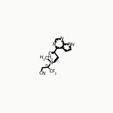 C=C(/C=C\N(C)[C@H](CC#N)C(F)(F)F)c1ncnc2[nH]ccc12